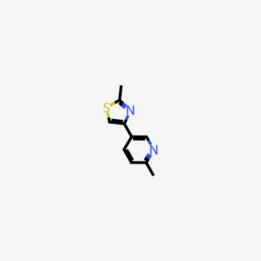 Cc1ccc(-c2csc(C)n2)cn1